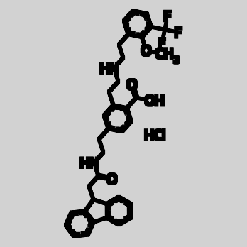 COc1c(CCNCCc2cc(CCNC(=O)CC3c4ccccc4-c4ccccc43)ccc2C(=O)O)cccc1C(F)(F)F.Cl